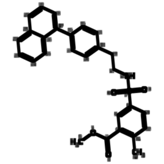 COC(=O)c1cc(S(=O)(=O)NCCc2ccc(-c3cccc4ccccc34)cc2)ccc1C